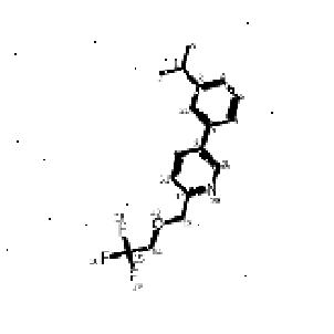 CC(C)c1cccc(-c2ccc(COCC(F)(F)F)nc2)c1